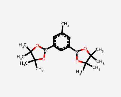 Cc1cc(B2OC(C)(C)C(C)(C)O2)cc(B2OC(C)(C)C(C)(C)O2)c1